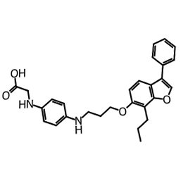 CCCc1c(OCCCNc2ccc(NCC(=O)O)cc2)ccc2c(-c3ccccc3)coc12